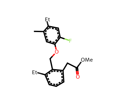 CCc1cc(F)c(OCc2c(CC)cccc2CC(=O)OC)cc1C